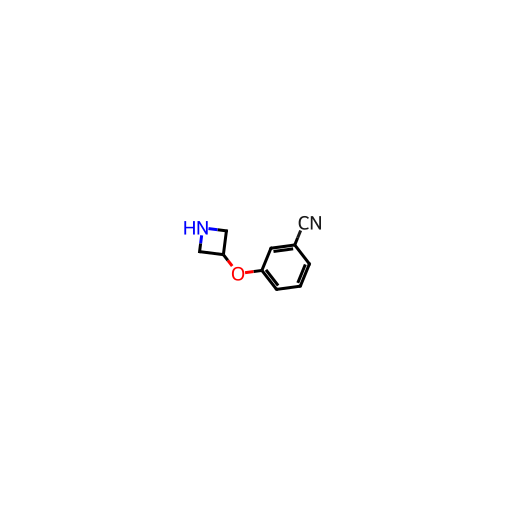 N#Cc1cccc(OC2CNC2)c1